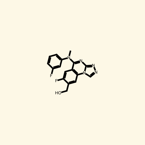 CN(c1cccc(F)c1)c1nc2nncn2c2cc(CO)c(F)cc12